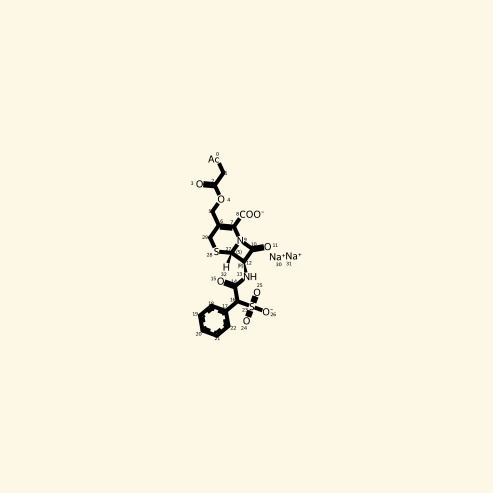 CC(=O)CC(=O)OCC1=C(C(=O)[O-])N2C(=O)[C@@H](NC(=O)C(c3ccccc3)S(=O)(=O)[O-])[C@@H]2SC1.[Na+].[Na+]